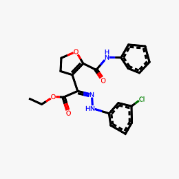 CCOC(=O)C(=NNc1cccc(Cl)c1)C1=C(C(=O)Nc2ccccc2)OCC1